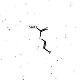 COC(=O)O/C=C/F